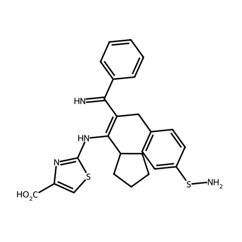 N=C(/C(Cc1ccc(SN)cc1)=C(\Nc1nc(C(=O)O)cs1)C1CCCC1)c1ccccc1